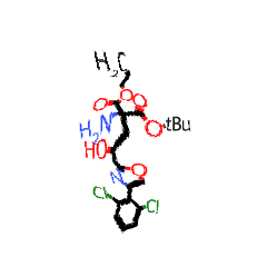 C=CCOC(=O)C(N)(CC(O)c1nc(-c2c(Cl)cccc2Cl)co1)C(=O)OC(C)(C)C